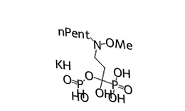 CCCCCN(CCC(O)(O[PH](=O)O)P(=O)(O)O)OC.[KH]